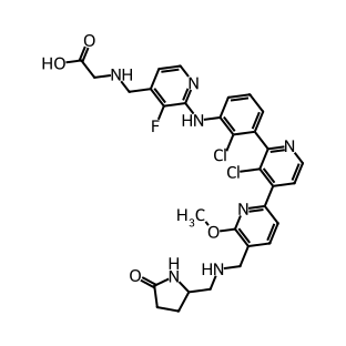 COc1nc(-c2ccnc(-c3cccc(Nc4nccc(CNCC(=O)O)c4F)c3Cl)c2Cl)ccc1CNCC1CCC(=O)N1